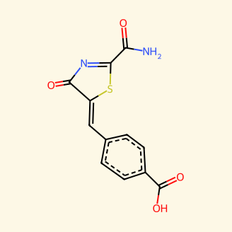 NC(=O)C1=NC(=O)C(=Cc2ccc(C(=O)O)cc2)S1